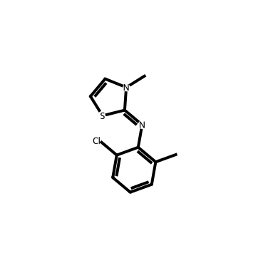 Cc1cccc(Cl)c1N=c1sccn1C